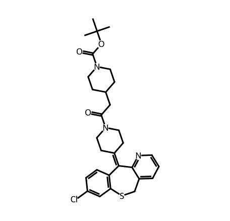 CC(C)(C)OC(=O)N1CCC(CC(=O)N2CCC(=C3c4ccc(Cl)cc4SCc4cccnc43)CC2)CC1